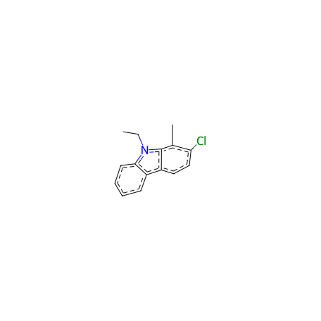 CCn1c2ccccc2c2ccc(Cl)c(C)c21